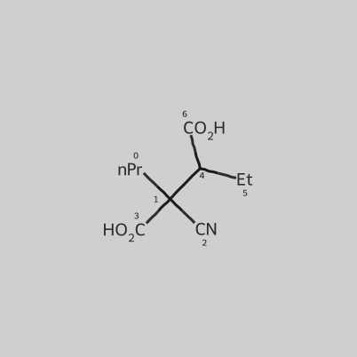 CCCC(C#N)(C(=O)O)C(CC)C(=O)O